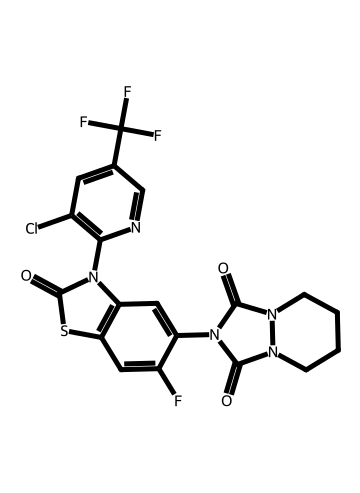 O=c1sc2cc(F)c(-n3c(=O)n4n(c3=O)CCCC4)cc2n1-c1ncc(C(F)(F)F)cc1Cl